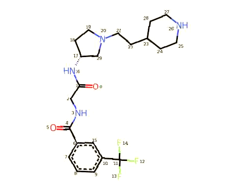 O=C(CNC(=O)c1cccc(C(F)(F)F)c1)N[C@@H]1CCN(CCC2CCNCC2)C1